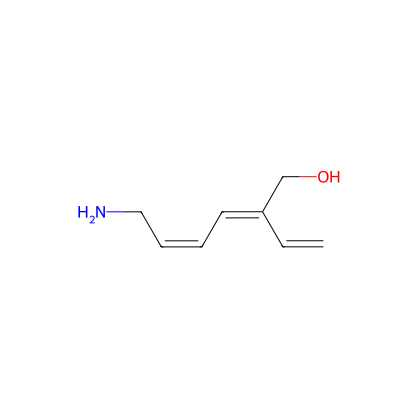 C=C/C(=C\C=C/CN)CO